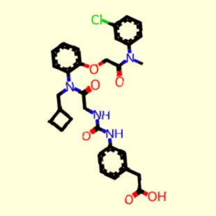 CN(C(=O)COc1ccccc1N(CC1CCC1)C(=O)CNC(=O)Nc1cccc(CC(=O)O)c1)c1cccc(Cl)c1